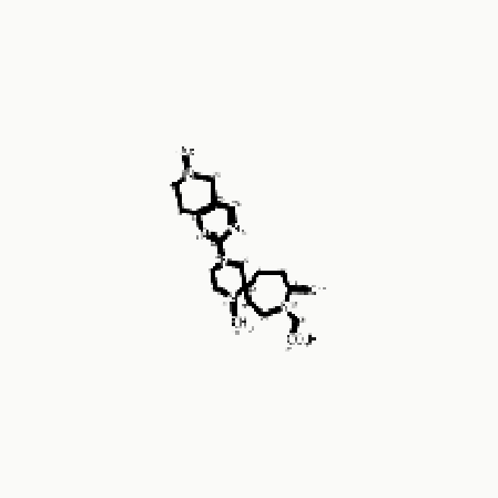 CC(=O)N1CCc2nc(N3CCN(C)C4(CCC(=O)N(CC(=O)O)CC4)C3)ncc2C1